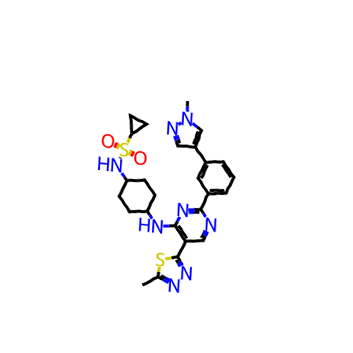 Cc1nnc(-c2cnc(-c3cccc(-c4cnn(C)c4)c3)nc2NC2CCC(NS(=O)(=O)C3CC3)CC2)s1